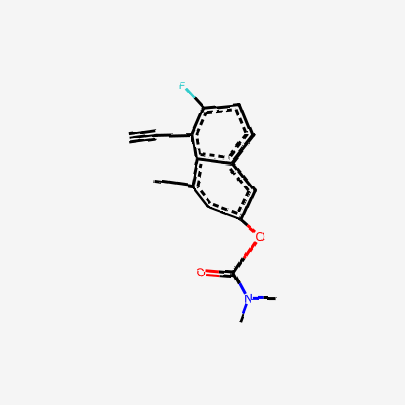 C#Cc1c(F)ccc2cc(OC(=O)N(C)C)cc(C)c12